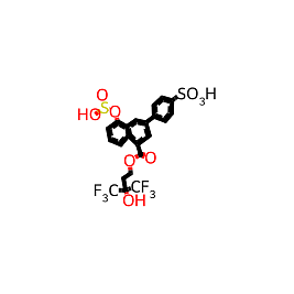 O=C(OCCC(O)(C(F)(F)F)C(F)(F)F)c1cc(-c2ccc(S(=O)(=O)O)cc2)cc2c(OS(=O)O)cccc12